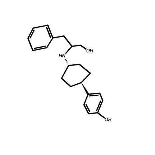 OCC(Cc1ccccc1)N[C@H]1CC[C@H](c2ccc(O)cc2)CC1